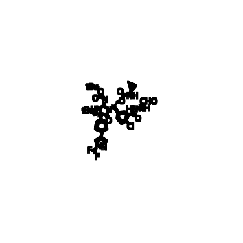 CC(C)(C)C[C@]1(c2ccc(-c3cnn(C(F)F)c3)cc2)NC(=NC(=O)OC(C)(C)C)N([C@H](COC(=O)NC2CC2)c2ccc(Cl)c(C(=O)NNC=O)c2)C1=O